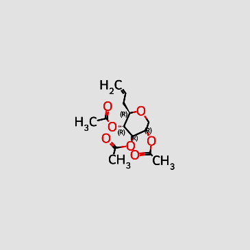 C=CC[C@H]1OC[C@@H](OC(C)=O)[C@@H](OC(C)=O)[C@@H]1OC(C)=O